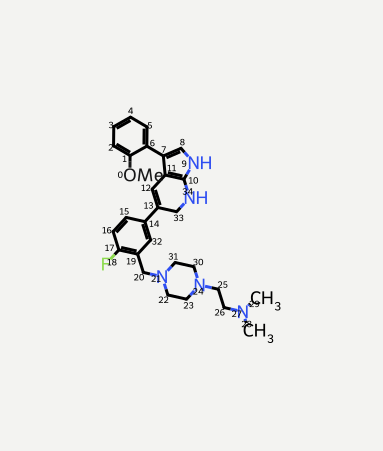 COc1ccccc1-c1c[nH]c2c1C=C(c1ccc(F)c(CN3CCN(CCN(C)C)CC3)c1)CN2